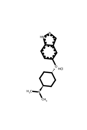 CN(C)[C@H]1CC[C@H](Oc2ccc3[nH]ncc3c2)CC1.Cl